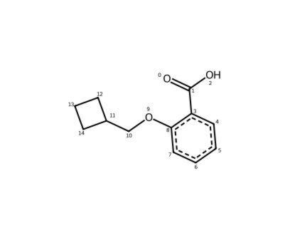 O=C(O)c1ccccc1OCC1CCC1